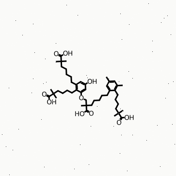 Cc1cc(C)c(CCCCC(C)(C)C(=O)O)c(CCCCCC(C)(COc2cc(O)cc(CCCCCC(C)(C)C(=O)O)c2CCCCC(C)(C)C(=O)O)C(=O)O)c1